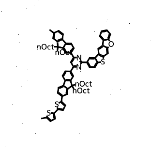 CCCCCCCCC1(CCCCCCCC)c2cc(C)ccc2-c2ccc(-c3cc(-c4ccc5c(c4)C(CCCCCCCC)(CCCCCCCC)c4cc(-c6ccc(-c7ccc(C)s7)s6)ccc4-5)nc(-c4ccc5sc6cc7oc8ccccc8c7cc6c5c4)n3)cc21